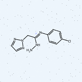 NN/C(Cn1nccn1)=N\c1ccc(Cl)cc1